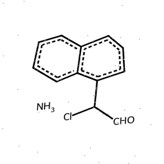 N.O=CC(Cl)c1cccc2ccccc12